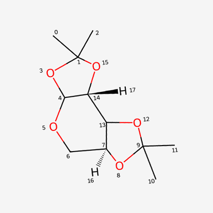 CC1(C)OC2OC[C@@H]3OC(C)(C)OC3[C@H]2O1